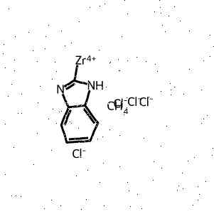 C.[Cl-].[Cl-].[Cl-].[Cl-].[Zr+4][c]1nc2ccccc2[nH]1